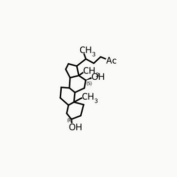 CC(=O)CCC(C)C1CCC2C3CCC4C[C@H](O)CCC4(C)C3C[C@H](O)C12C